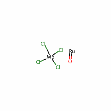 [Cl][Mo]([Cl])([Cl])[Cl].[O]=[Ru]